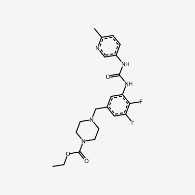 CCOC(=O)N1CCN(Cc2cc(F)c(F)c(NC(=O)Nc3ccc(C)nc3)c2)CC1